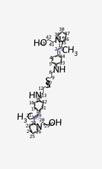 C/C(=C\c1ccc(NCCSSCCNc2ccc(/C=C(\C)c3cccc[n+]3CCO)cc2)cc1)c1cccc[n+]1CCO